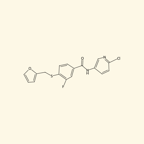 O=C(Nc1ccc(Cl)nc1)c1ccc(SCc2ccco2)c(F)c1